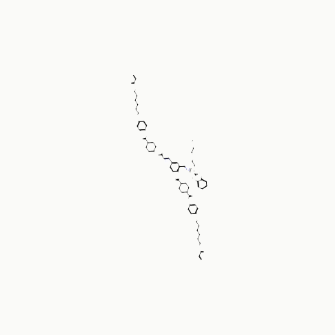 C=CC(=O)OCCCCCCOc1ccc(OC(=O)C2CCC(OC(=O)/C=C/c3ccc(OC(=O)C4CCC(C(=O)Oc5ccc(OCCCCCCOC(=O)C=C)cc5)CC4)c(/C=N/N(CCOCCOC)c4nc5ccccc5s4)c3)CC2)cc1